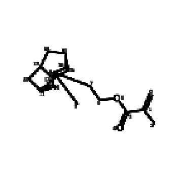 C=C(C)C(=O)OCCC1(C)C=C2CC3CC(CC23)C1